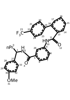 CCCC(NC(=O)c1cccc(NC(=O)c2ccccc2-c2ccc(C(F)(F)F)cc2)c1)c1ccc(OC)cc1